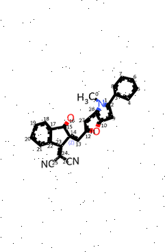 Cn1c(-c2ccccc2)cc2oc(/C=C3\C(=O)c4ccccc4C3=C(C#N)C#N)cc21